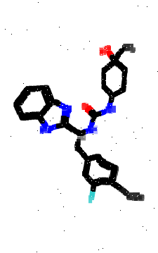 COc1ccc(C[C@@H](NC(=O)NC2CCC(C)(O)CC2)c2nc3ccccc3[nH]2)cc1F